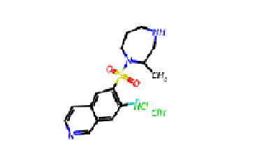 CC1CNCCCN1S(=O)(=O)c1cc2ccncc2cc1F.Cl.Cl